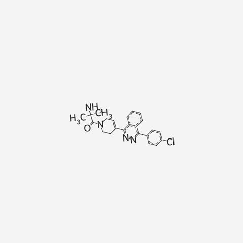 CC(C)(N)C(=O)N1CC=C(c2nnc(-c3ccc(Cl)cc3)c3ccccc23)CC1